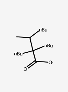 CCCCC(C)C(CCCC)(CCCC)C([O])=O